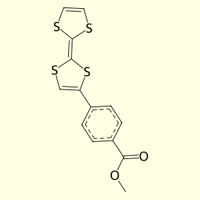 COC(=O)c1ccc(C2=CSC(=C3SC=CS3)S2)cc1